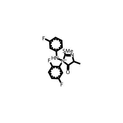 CSC1=NC(C)C(=O)[N+]1(Nc1cccc(F)c1)c1cc(F)ccc1F